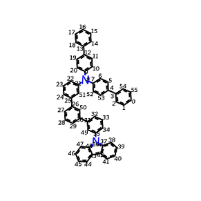 c1ccc(-c2ccc(N(c3ccc(-c4ccccc4)cc3)c3cccc(-c4cccc(-c5cccc(-n6c7ccccc7c7ccccc76)c5)c4)c3)cc2)cc1